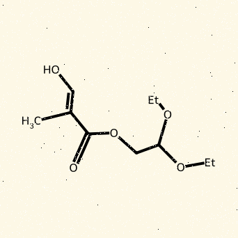 CCOC(COC(=O)C(C)=CO)OCC